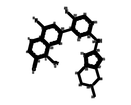 CC(C)n1c(=O)cnc2c(F)cc(-c3nc(Nc4cc5n(n4)CCN(C)C5)ncc3F)cc21